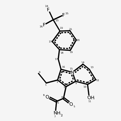 CCc1c(C(=O)C(N)=O)c2c(O)cccn2c1Cc1cccc(C(F)(F)F)c1